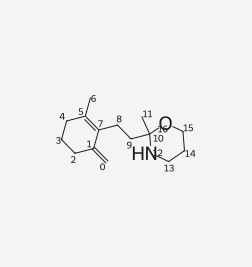 C=C1CCCC(C)=C1CCC1(C)NCCCO1